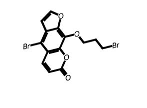 O=c1ccc2c(Br)c3ccoc3c(OCCCBr)c2o1